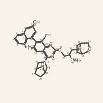 CCc1cccc2cc(O)cc(-c3c(F)cc4c(N5CC6CCC(C5)N6)nc(OCC(CN5C6CCC5COC6)OC)nc4c3F)c12